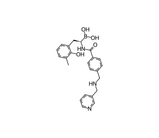 Cc1cccc(C[C@H](NC(=O)c2ccc(CNCc3cccnc3)cc2)B(O)O)c1O